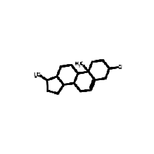 CC1CCC2C1CCC1C2CC=C2CC(Cl)CCC21C